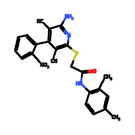 Cc1ccc(NC(=O)CSc2nc(N)c(C#N)c(-c3ccccc3[N+](=O)[O-])c2C#N)c(C)c1